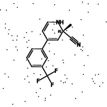 C[C@@]1(C#N)C=C(c2cccc(C(F)(F)F)c2)C=CN1